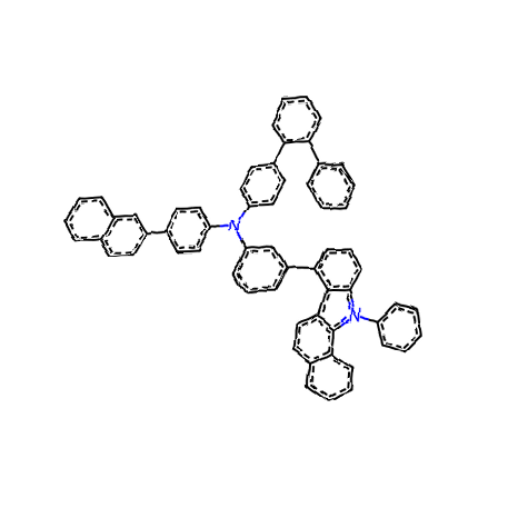 c1ccc(-c2ccccc2-c2ccc(N(c3ccc(-c4ccc5ccccc5c4)cc3)c3cccc(-c4cccc5c4c4ccc6ccccc6c4n5-c4ccccc4)c3)cc2)cc1